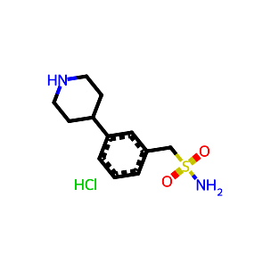 Cl.NS(=O)(=O)Cc1cccc(C2CCNCC2)c1